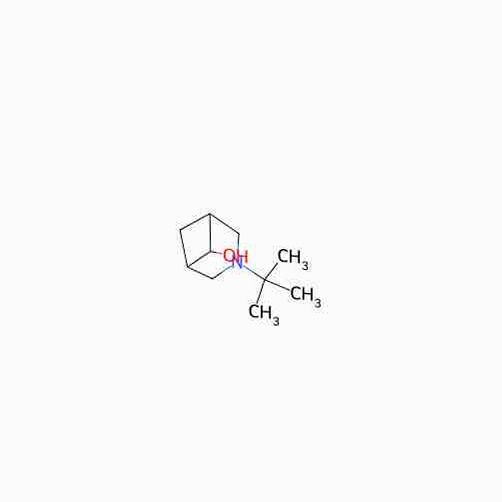 CC(C)(C)N1CC2CC(C1)C2O